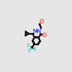 O=CCn1nc(C2CC2)c2cc(C(F)(F)F)ccc2c1=O